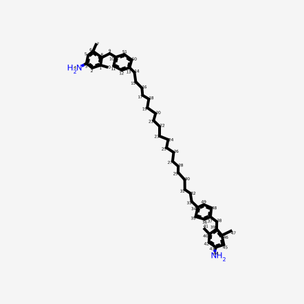 Cc1cc(N)cc(C)c1Cc1ccc(CCCCCCCCCCCCCCCCCCCCc2ccc(Cc3c(C)cc(N)cc3C)cc2)cc1